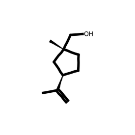 C=C(C)[C@@H]1CC[C@@](C)(CO)C1